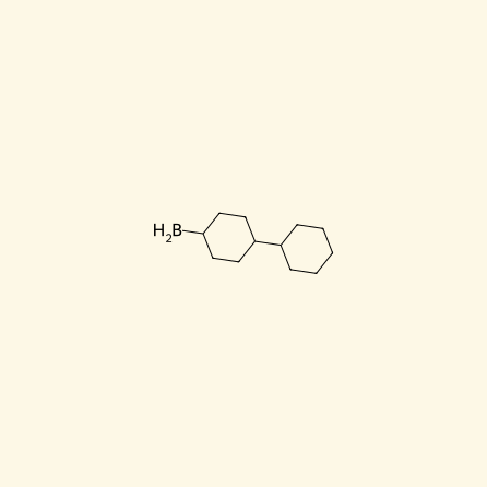 BC1CCC(C2CCCCC2)CC1